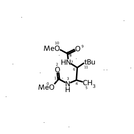 COC(=O)NC(C)C(NC(=O)OC)C(C)(C)C